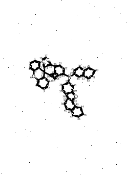 c1ccc2c(c1)Oc1ccccc1C21c2ccccc2-c2ccc(N(c3ccc4ccccc4c3)c3ccc4c(c3)oc3c5ccccc5ccc43)c3cccc1c23